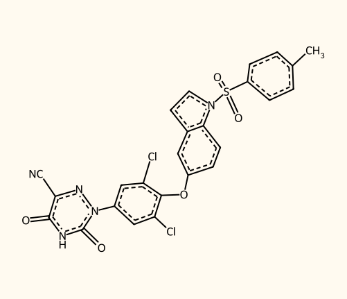 Cc1ccc(S(=O)(=O)n2ccc3cc(Oc4c(Cl)cc(-n5nc(C#N)c(=O)[nH]c5=O)cc4Cl)ccc32)cc1